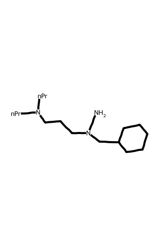 CCCN(CCC)CCCN(N)CC1CCCCC1